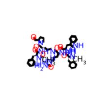 CN[C@H](CC1CCCCC1)C(=O)NC(Cc1c[nH]c2ccccc12)C(=O)NC(CCCNC(N)=O)C(=O)NCCC[C@H](NC(=O)[C@H](Cc1ccccc1)NC(C)=O)C(=O)N1CCCC1C=O